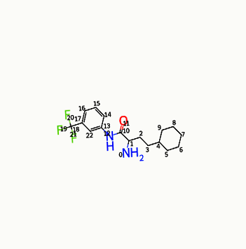 NC(CCC1CCCCC1)C(=O)Nc1cccc(C(F)(F)F)c1